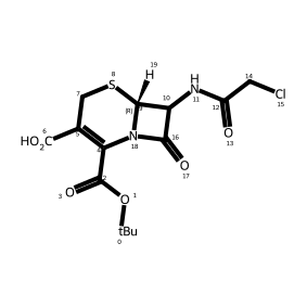 CC(C)(C)OC(=O)C1=C(C(=O)O)CS[C@@H]2C(NC(=O)CCl)C(=O)N12